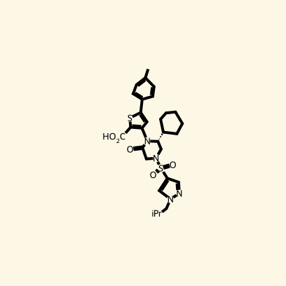 Cc1ccc(-c2cc(N3C(=O)CN(S(=O)(=O)c4cnn(CC(C)C)c4)C[C@H]3C3CCCCC3)c(C(=O)O)s2)cc1